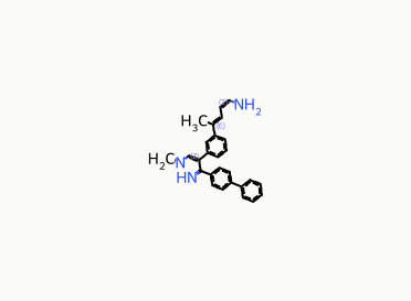 C=N/C=C(\C(=N)c1ccc(-c2ccccc2)cc1)c1cccc(/C(C)=C/C=C\N)c1